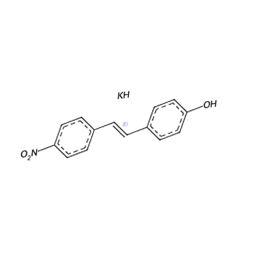 O=[N+]([O-])c1ccc(/C=C/c2ccc(O)cc2)cc1.[KH]